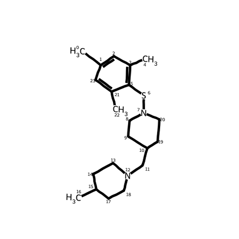 Cc1cc(C)c(SN2CCC(CN3CCC(C)CC3)CC2)c(C)c1